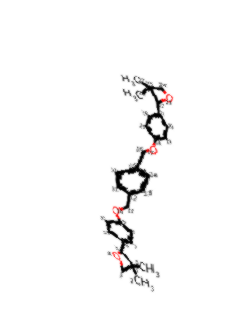 CC1(C)COC1c1ccc(OCc2ccc(COc3ccc(C4OCC4(C)C)cc3)cc2)cc1